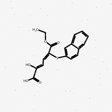 CCOC(=O)/C(=C/C=C(\O)C(=O)O)Sc1ccc2ccccc2c1